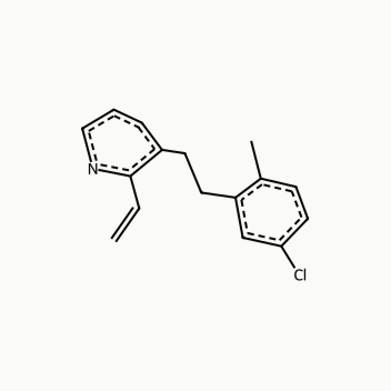 C=Cc1ncccc1CCc1cc(Cl)ccc1C